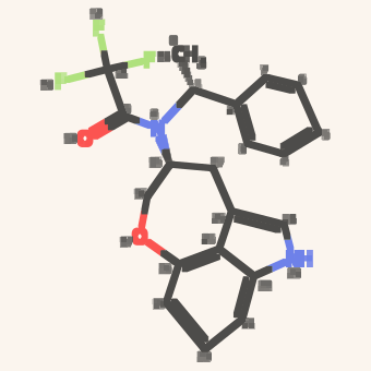 C[C@H](c1ccccc1)N(C(=O)C(F)(F)F)[C@@H]1COc2cccc3[nH]cc(c23)C1